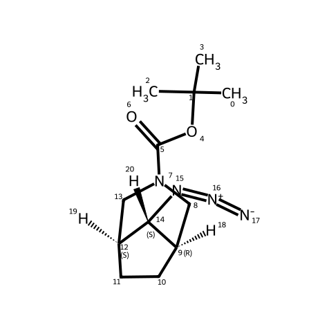 CC(C)(C)OC(=O)N1C[C@H]2CC[C@@H](C1)[C@@H]2N=[N+]=[N-]